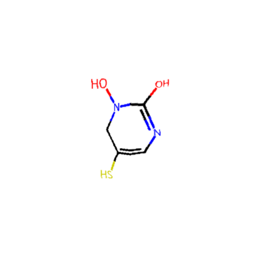 OC1=NC=C(S)CN1O